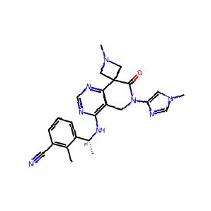 Cc1c(C#N)cccc1[C@@H](C)Nc1ncnc2c1CN(c1cn(C)cn1)C(=O)C21CN(C)C1